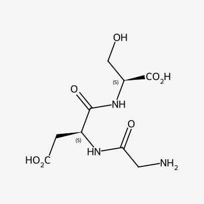 NCC(=O)N[C@@H](CC(=O)O)C(=O)N[C@@H](CO)C(=O)O